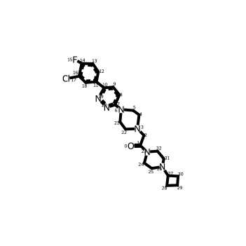 O=C(CN1CCN(c2ccc(-c3ccc(F)c(Cl)c3)nn2)CC1)N1CCN(C2CCC2)CC1